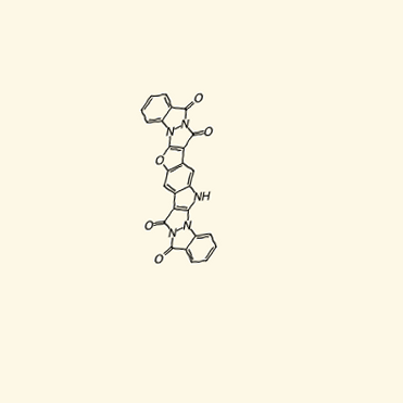 O=c1c2ccccc2n2c3[nH]c4cc5c(cc4c3c(=O)n12)oc1c5c(=O)n2c(=O)c3ccccc3n12